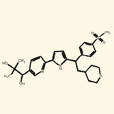 CC(C)(O)C(O)c1ccc(-c2ccc(C(CC3CCOCC3)c3ccc(S(C)(=O)=O)cc3)[nH]2)nc1